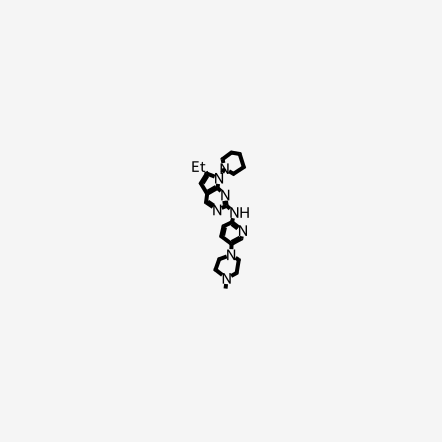 CCc1cc2cnc(Nc3ccc(N4CCN(C)CC4)cn3)nc2n1N1CCCCC1